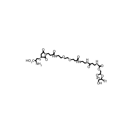 CCC(CO)OC(COC(=O)NCCC(=O)NCCNC(=O)CCOCCOCCNC(=O)CCN1C(=O)CC(SCC(N)C(=O)O)C1=O)OC(C)C